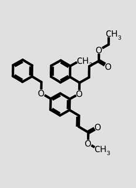 CCOC(=O)CCC(Oc1cc(OCc2ccccc2)ccc1/C=C/C(=O)OC)c1ccccc1C